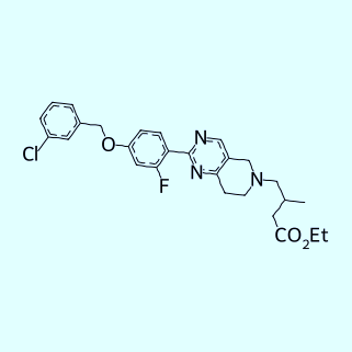 CCOC(=O)CC(C)CN1CCc2nc(-c3ccc(OCc4cccc(Cl)c4)cc3F)ncc2C1